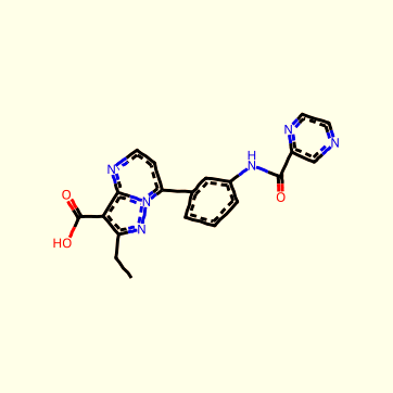 CCc1nn2c(-c3cccc(NC(=O)c4cnccn4)c3)ccnc2c1C(=O)O